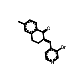 Cc1ccc2c(c1)CC/C(=C\c1ccncc1Br)C2=O